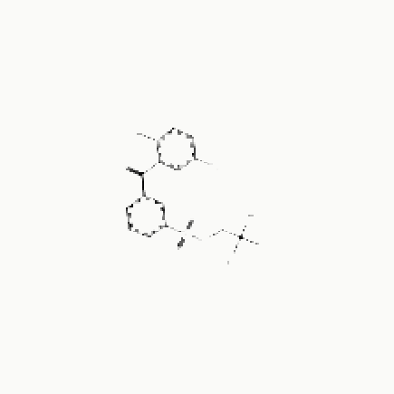 CC(C)(C)COS(=O)(=O)c1cccc(C(=O)c2cc(Cl)ccc2Cl)c1